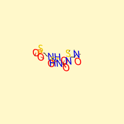 COP(=S)(CCN[S+]([O-])CNC(=O)ON=C(SC)C(=O)N(C)C)OC